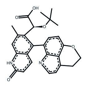 Cc1cc2[nH]c(=O)ccc2c(-c2ccc3c4c(ccnc24)CCO3)c1[C@H](OC(C)(C)C)C(=O)O